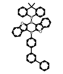 CC1(C)c2ccccc2N(B2c3oc4ccccc4c3B(c3ccc(-c4cccc(-c5ccccc5)c4)cc3)c3oc4ccccc4c32)c2ccccc21